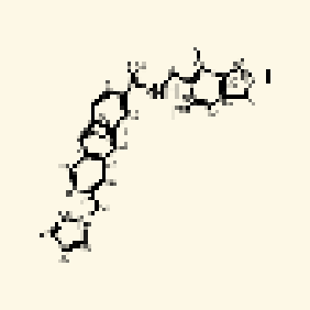 Cc1c(CNC(=O)c2ccc3c(c2)c2oc3c3ccc(Cn4cccn4)cc32)c(F)cc2c1CNC2